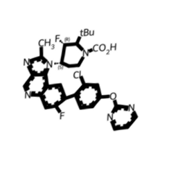 Cc1nc2cnc3cc(F)c(-c4ccc(Oc5ncccn5)cc4Cl)cc3c2n1[C@H]1CCN(C(=O)O)C(C(C)(C)C)[C@H]1F